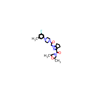 Cc1cc(F)cc(N2CCN(C(=O)Cn3nc(C(=O)N4C[C@@H](C)O[C@@H](C)C4)c4c3CCC4)CC2)c1